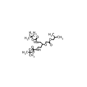 CC(C)COC(=O)COC(CCNC(=O)OC(C)(C)C)CNC(=O)OC(C)(C)C